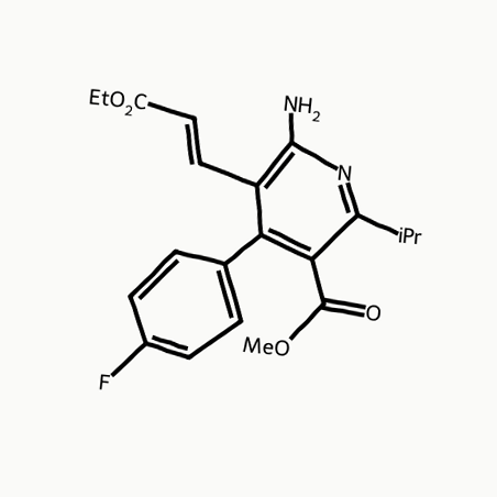 CCOC(=O)C=Cc1c(N)nc(C(C)C)c(C(=O)OC)c1-c1ccc(F)cc1